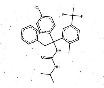 Cc1ccc(C(F)(F)F)cc1C(Cc1ccccc1)(NC(=O)NC(C)C)c1ccc(Cl)cn1